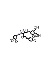 COc1ccc(/C=C/C(=O)C(C(=O)/C=C/c2ccc(OC)c(OC)c2)=C(O)/C=C/c2ccc(CO)c(CO)c2)cc1OC